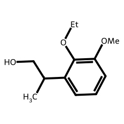 CCOc1c(OC)cccc1[C](C)CO